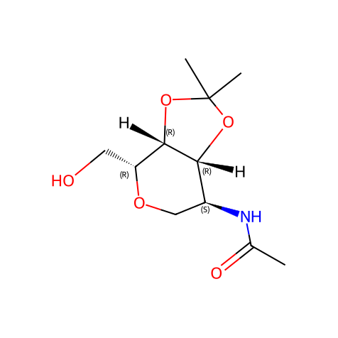 CC(=O)N[C@H]1CO[C@H](CO)[C@@H]2OC(C)(C)O[C@@H]21